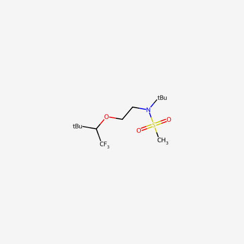 CC(C)(C)C(OCCN(C(C)(C)C)S(C)(=O)=O)C(F)(F)F